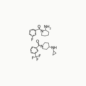 NC1CCCCN1C(=O)c1cccc(F)c1.O=C(c1cccc(C(F)(F)F)c1)N1CCC(NC2CC2)CC1